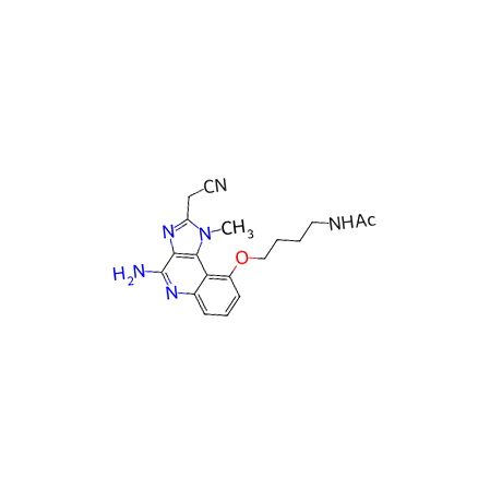 CC(=O)NCCCCOc1cccc2nc(N)c3nc(CC#N)n(C)c3c12